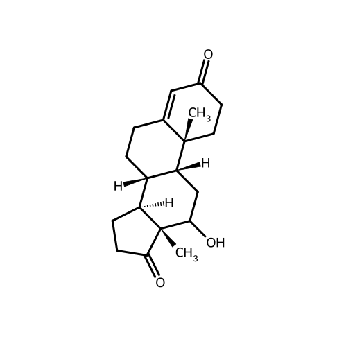 C[C@]12CCC(=O)C=C1CC[C@@H]1[C@H]2CC(O)[C@]2(C)C(=O)CC[C@@H]12